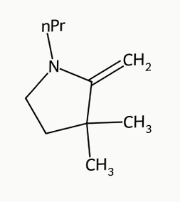 C=C1N(CCC)CCC1(C)C